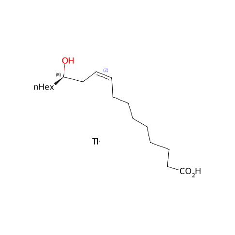 CCCCCC[C@@H](O)C/C=C\CCCCCCCC(=O)O.[Tl]